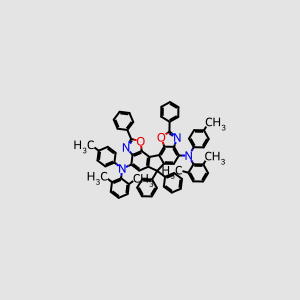 Cc1ccc(N(c2c(C)cccc2C)c2cc3c(c4oc(-c5ccccc5)nc24)-c2c(cc(N(c4ccc(C)cc4)c4c(C)cccc4C)c4nc(-c5ccccc5)oc24)C3(c2ccccc2)c2ccccc2)cc1